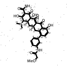 COCC(=O)Nc1cccc(-c2ccc(O)c3c2C[C@H]2C[C@H]4C(N(C)C)C(O)=C(C(N)=O)C(=O)[C@@]4(O)C(O)=C2C3=O)c1